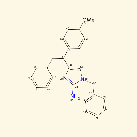 COc1ccc(C(Cc2ccccc2)c2cn(Cc3ccccc3)c(N)n2)cc1